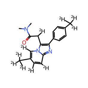 [2H]c1c(C([2H])([2H])[2H])c([2H])n2c(C([2H])C(=O)N(C)C)c(-c3ccc(C([2H])([2H])[2H])cc3)nc2c1[2H]